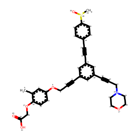 Cc1cc(OCC#Cc2cc(C#CCN3CCOCC3)cc(C#Cc3ccc([S+](C)[O-])cc3)c2)ccc1OCC(=O)O